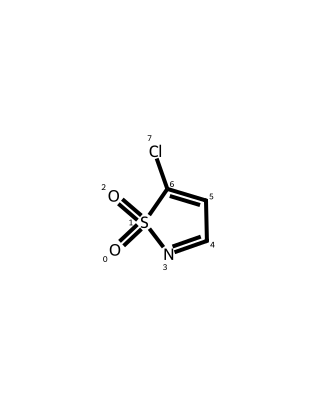 O=S1(=O)N=CC=C1Cl